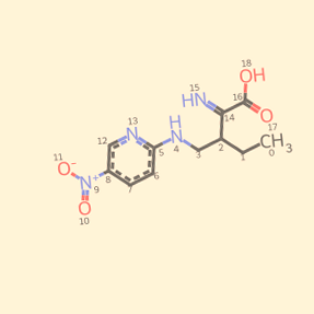 CCC(CNc1ccc([N+](=O)[O-])cn1)C(=N)C(=O)O